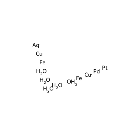 O.O.O.O.O.[Ag].[Cu].[Cu].[Fe].[Fe].[Pd].[Pt]